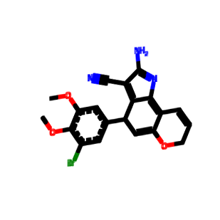 COc1cc(C2C=C3OCC=CC3=C3N=C(N)C(C#N)=C32)cc(Br)c1OC